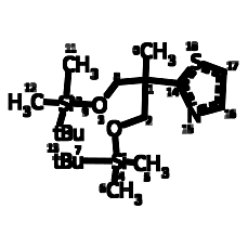 CC(CO[Si](C)(C)C(C)(C)C)(CO[Si](C)(C)C(C)(C)C)c1nccs1